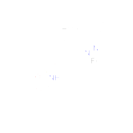 CC[N+]1(C)N=C(C2CC2)C(C(=O)O)=C1c1ccc(-c2ccccc2S(=O)(=O)NC(=O)c2ccccc2)cc1